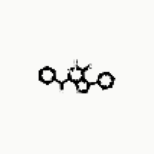 O=C(c1ccccc1)c1n[nH]c(=O)c2c(-c3ccccc3)csc12